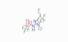 CC1/C(=C\C(=C/CF)C(F)(F)F)N=C(NC(=O)CC(C)(O)C(F)(F)F)N1C1CCC1